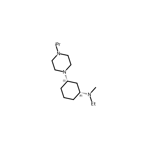 CCN(C)[C@@H]1CCC[C@H](N2CCN(C(C)C)CC2)C1